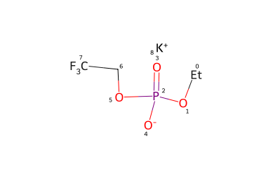 CCOP(=O)([O-])OCC(F)(F)F.[K+]